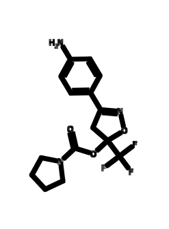 Nc1ccc(C2=NOC(OC(=O)N3CCCC3)(C(F)(F)F)C2)cc1